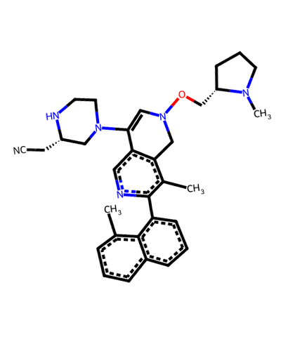 Cc1c(-c2cccc3cccc(C)c23)ncc2c1CN(OC[C@@H]1CCCN1C)C=C2N1CCN[C@@H](CC#N)C1